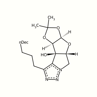 CCCCCCCCCCCCCc1nnn2c1[C@@]1(O)[C@@H](C2)O[C@@H]2OC(C)(C)O[C@@H]21